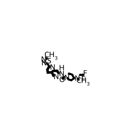 Cc1nnc(-c2ccc3cnc(NC(=O)N4CCC(N(C)CC(F)F)CC4)cc3n2)s1